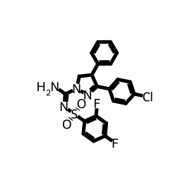 NC(=NS(=O)(=O)c1ccc(F)cc1F)N1CC(c2ccccc2)C(c2ccc(Cl)cc2)=N1